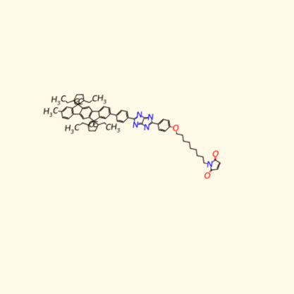 CCC12CCC(CC)(CC1)C21c2cc(C)ccc2-c2cc3c(cc21)-c1ccc(-c2ccc(C4=NC5=NC(c6ccc(OCCCCCCCCCN7C(=O)C=CC7=O)cc6)=NC5=N4)cc2)cc1C31C2(CC)CCC1(CC)CC2